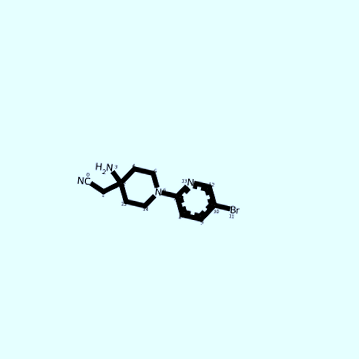 N#CCC1(N)CCN(c2ccc(Br)cn2)CC1